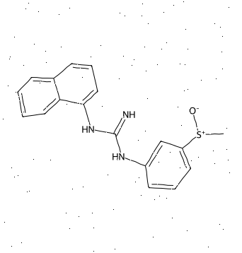 C[S+]([O-])c1cccc(NC(=N)Nc2cccc3ccccc23)c1